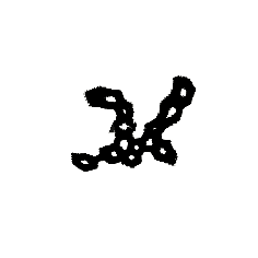 c1ccc(-c2cccc(-c3nc4c(nc3C3c5ccccc5-c5c3c3sc6cc7ccccc7cc6c3c3ccccc53)sc3ccccc34)c2)cc1